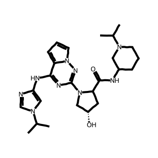 CC(C)N1CCCC(NC(=O)C2C[C@H](O)CN2c2nc(Nc3cn(C(C)C)cn3)c3cccn3n2)C1